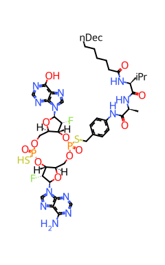 CCCCCCCCCCCCCCCC(=O)N[C@H](C(=O)N[C@@H](C)C(=O)Nc1ccc(CSP2(=O)OC[C@H]3O[C@@H](n4cnc5c(N)ncnc54)[C@H](F)[C@@H]3OP(=O)(S)OC[C@H]3O[C@@H](n4cnc5c(O)ncnc54)[C@H](F)[C@@H]3O2)cc1)C(C)C